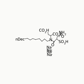 CCCCCCCCCCCCCCCCCCN(C(=O)C(CC(N)=O)S(=O)(=O)O)C(CC(=O)O)C(=O)O.[Na].[Na].[Na].[Na]